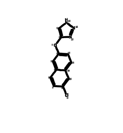 Clc1ccc2cc(Oc3c[nH]nn3)ccc2c1